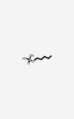 CCCC[CH]OP(=O)(O)O